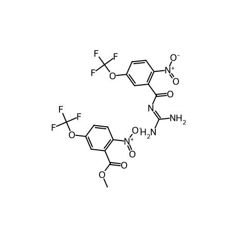 COC(=O)c1cc(OC(F)(F)F)ccc1[N+](=O)[O-].NC(N)=NC(=O)c1cc(OC(F)(F)F)ccc1[N+](=O)[O-]